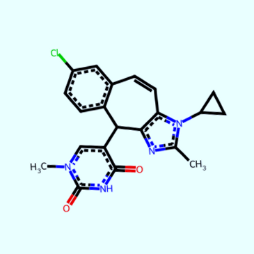 Cc1nc2c(n1C1CC1)C=Cc1cc(Cl)ccc1C2c1cn(C)c(=O)[nH]c1=O